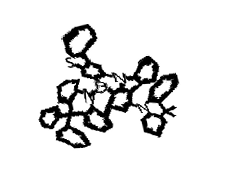 CC1(C)c2ccccc2N(c2cc3c4c5c2c2ccccc2n5-c2cc5c(cc2B4N2c4ccccc4C(c4ccccc4)(c4ccccc4)c4cccc-3c42)sc2ccccc25)c2ccccc21